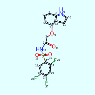 O=C(COc1cccc2[nH]ccc12)NS(=O)(=O)c1cc(F)c(F)cc1F